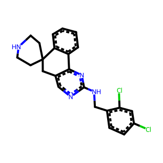 Clc1ccc(CNc2ncc3c(n2)-c2ccccc2C2(CCNCC2)C3)c(Cl)c1